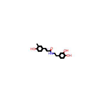 Cc1cc(/C=C/C(=O)NCCc2ccc(O)c(O)c2)ccc1O